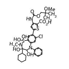 COC(C)(C)COC(=O)Nc1cc(-c2cc3c(cc2Cl)N(c2ccccc2)C(O)C(O)(C2CCCCC2)N(C)S3(O)O)sc1C(=O)O